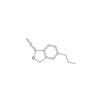 C=C=C1OCc2cc(CCC)ccc21